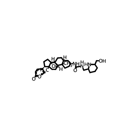 C[C@]12CC[C@H](NC(=O)NCC3CCCC(CO)N3)C[C@H]1CC[C@@H]1[C@@H]2CC[C@]2(C)[C@@H](c3ccc(=O)oc3)CC[C@]12O